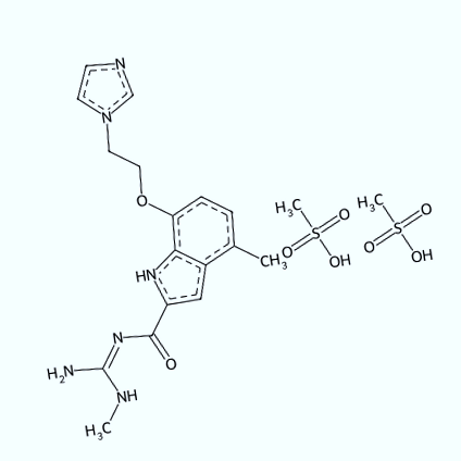 CNC(N)=NC(=O)c1cc2c(C)ccc(OCCn3ccnc3)c2[nH]1.CS(=O)(=O)O.CS(=O)(=O)O